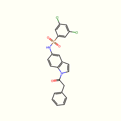 O=C(Cc1ccccc1)n1ccc2cc(NS(=O)(=O)c3cc(Cl)cc(Cl)c3)ccc21